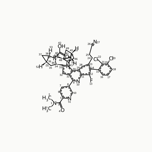 CN(C)C(=O)c1ccc(-c2nc3c(F)c(-c4cccc(Cl)c4Cl)c(CCC#N)cc3c3c2cc([C@H]2C[C@@H]4C[C@@H]4N2C(=O)O)n3[C@H]2[C@H]3CN[C@@H]2C3)cn1